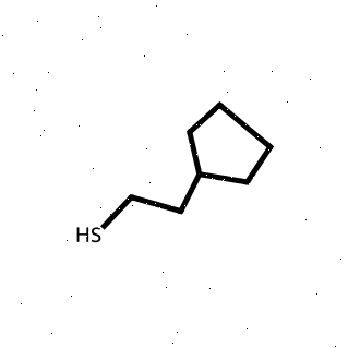 SCCC1CCCC1